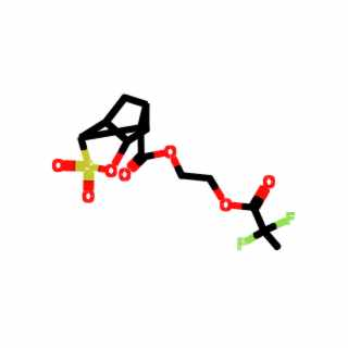 CC(F)(F)C(=O)OCCOC(=O)C1C2CC3OS(=O)(=O)C1C3C2